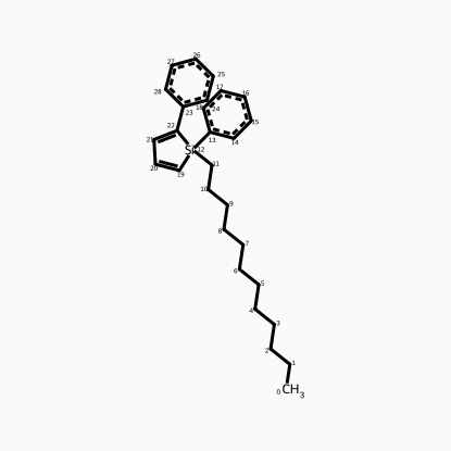 CCCCCCCCCCCC[Si]1(c2ccccc2)C=CC=C1c1ccccc1